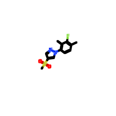 Cc1ccc(-n2cc(S(C)(=O)=O)cn2)c(C)c1F